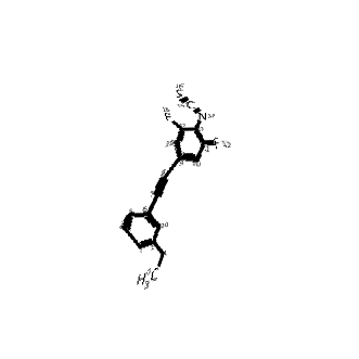 CCc1cccc(C#Cc2cc(F)c(N=C=S)c(F)c2)c1